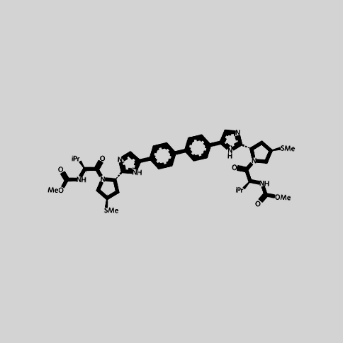 COC(=O)N[C@H](C(=O)N1C[C@H](SC)C[C@H]1c1ncc(-c2ccc(-c3ccc(-c4cnc([C@@H]5C[C@@H](SC)CN5C(=O)[C@@H](NC(=O)OC)C(C)C)[nH]4)cc3)cc2)[nH]1)C(C)C